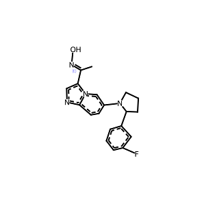 C/C(=N\O)c1cnc2ccc(N3CCCC3c3cccc(F)c3)cn12